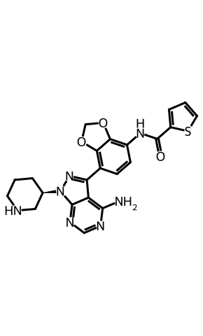 Nc1ncnc2c1c(-c1ccc(NC(=O)c3cccs3)c3c1OCO3)nn2[C@@H]1CCCNC1